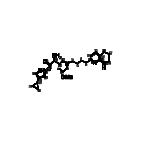 CO[C@H](C)CN(CCCCc1ccc2c(n1)NCCC2)CCC(N)C(=O)On1cc(C2CC2)cn1